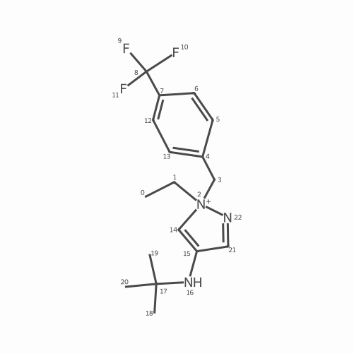 CC[N+]1(Cc2ccc(C(F)(F)F)cc2)C=C(NC(C)(C)C)C=N1